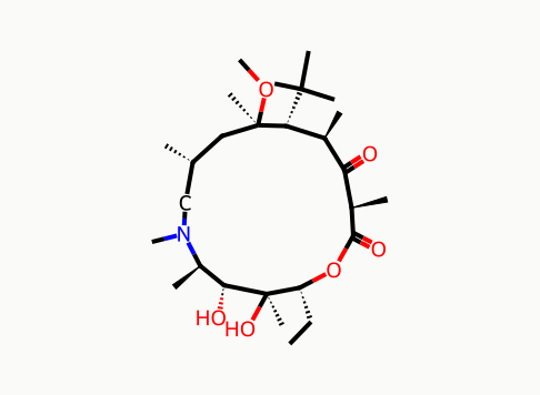 CC[C@H]1OC(=O)[C@H](C)C(=O)[C@H](C)[C@@H](C(C)(C)C)[C@](C)(OC)C[C@@H](C)CN(C)[C@H](C)[C@@H](O)[C@]1(C)O